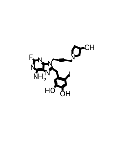 Nc1nc(F)nc2c1nc(Cc1cc(O)c(O)cc1I)n2CC#CCN1CCC(O)C1